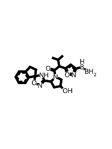 BBc1cc(C(C(=O)N2CC(O)CC2C2=NOC3(CCc4ccccc43)N2)C(C)C)on1